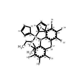 CC[P](CC)[Zr]([B](c1c(F)c(F)c(F)c(F)c1F)c1c(F)c(F)c(F)c(F)c1F)([C]1=CC=CC1)[C]1=CC=CC1